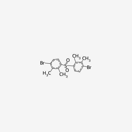 Cc1c(Br)ccc(S(=O)(=O)c2ccc(Br)c(C)c2C)c1C